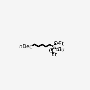 CCCCCCCCCCCCCCC[Si](OCC)(OCC)C(C)(C)C